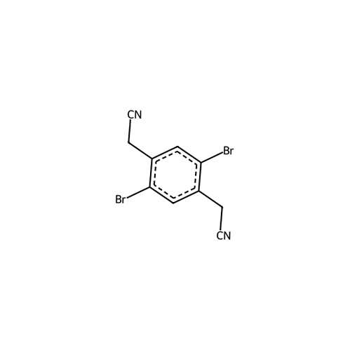 N#CCc1cc(Br)c(CC#N)cc1Br